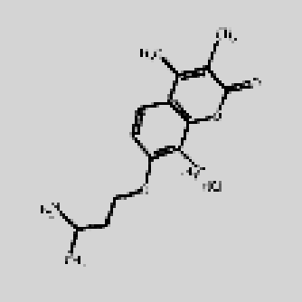 Cc1c(C)c2ccc(OCCC(C)N)c(C)c2oc1=O.Cl